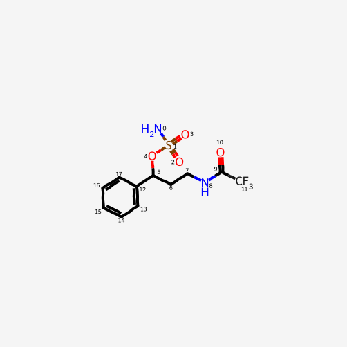 NS(=O)(=O)OC(CCNC(=O)C(F)(F)F)c1ccccc1